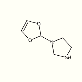 C1=COC(N2CCNC2)O1